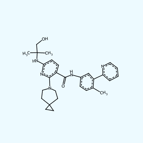 Cc1ccc(NC(=O)c2ccc(NC(C)(C)CO)nc2N2CCC3(CC2)CC3)cc1-c1ccccn1